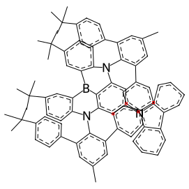 Cc1cc(-c2ccccc2)c(N2c3ccc(C(C)(C)C)cc3B3c4cc(C(C)(C)C)ccc4N(c4c(-c5ccccc5)cc(C)cc4-c4ccc(C(C)(C)C)cc4)c4cc(-n5c6ccccc6c6ccccc65)cc2c43)c(-c2ccc(C(C)(C)C)cc2)c1